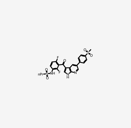 CCCS(=O)(=O)Nc1ccc(F)c(C(=O)c2c[nH]c3ncc(-c4ccc(S(C)(=O)=O)cc4)cc23)c1F